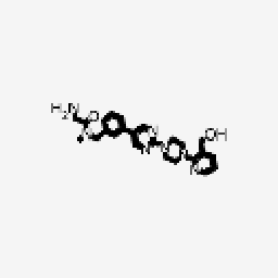 CN(Cc1cccc(-c2cnc(N3CCN(c4ncccc4CO)CC3)nc2)c1)C(=O)CN